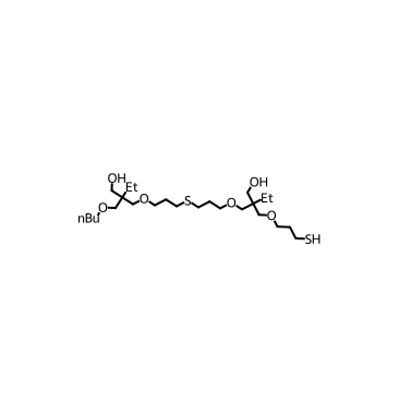 CCCCOCC(CC)(CO)COCCCSCCCOCC(CC)(CO)COCCCS